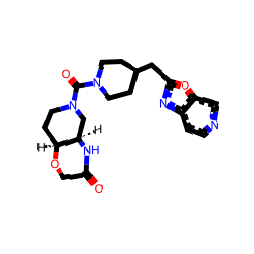 O=C1CO[C@H]2CCN(C(=O)N3CCC(Cc4nc5ccncc5o4)CC3)C[C@H]2N1